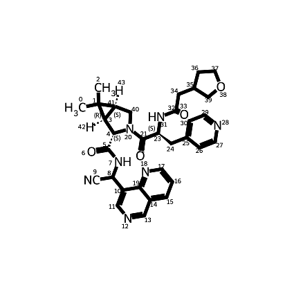 CC1(C)[C@@H]2[C@@H](C(=O)NC(C#N)c3cncc4cccnc34)N(C(=O)[C@H](Cc3ccncc3)NC(=O)CC3CCOC3)C[C@@H]21